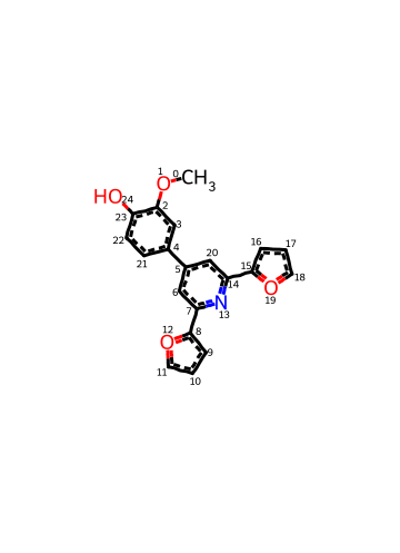 COc1cc(-c2cc(-c3ccco3)nc(-c3ccco3)c2)ccc1O